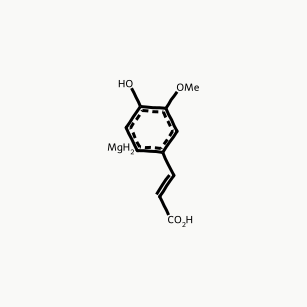 COc1cc(C=CC(=O)O)ccc1O.[MgH2]